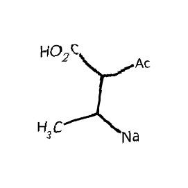 CC(=O)C(C(=O)O)[CH](C)[Na]